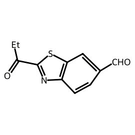 CCC(=O)c1nc2ccc(C=O)cc2s1